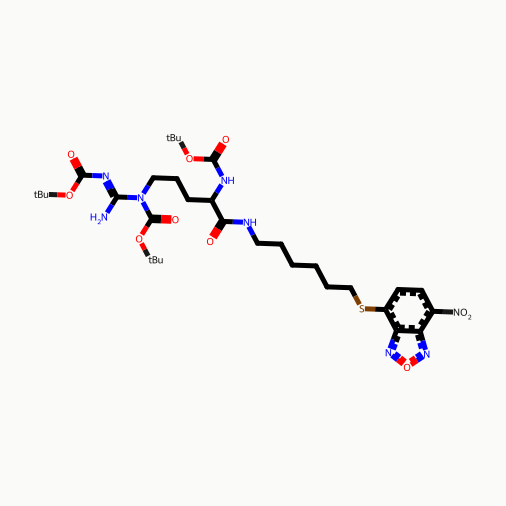 CC(C)(C)OC(=O)N=C(N)N(CCCC(NC(=O)OC(C)(C)C)C(=O)NCCCCCCSc1ccc([N+](=O)[O-])c2nonc12)C(=O)OC(C)(C)C